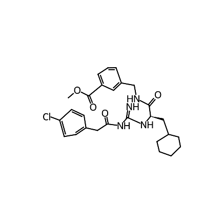 COC(=O)c1cccc(CNC(=O)[C@@H](CC2CCCCC2)NC(=N)NC(=O)Cc2ccc(Cl)cc2)c1